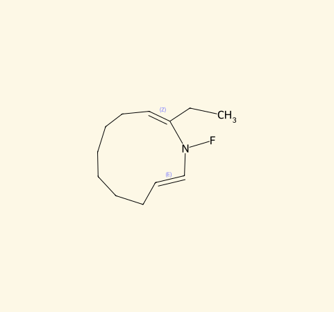 CC/C1=C/CCCCCC/C=C/N1F